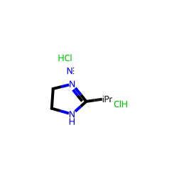 CC(C)C1=NCCN1.Cl.Cl.[N]